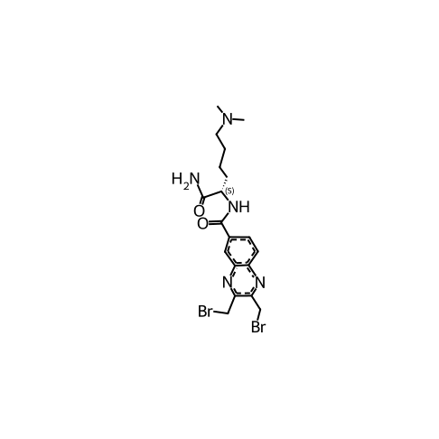 CN(C)CCCC[C@H](NC(=O)c1ccc2nc(CBr)c(CBr)nc2c1)C(N)=O